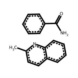 Cc1ccc2ccccc2n1.NC(=O)c1ccccc1